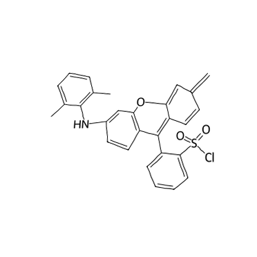 C=c1ccc2c(c1)Oc1cc(Nc3c(C)cccc3C)ccc1C=2c1ccccc1S(=O)(=O)Cl